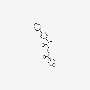 O=C(CCCC(=O)N1CCOCC1)Nc1ccc(N2CCOCC2)cc1